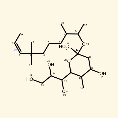 C/C=C\C(C)(C)CCCC(C)C(C)OC1(C(=O)O)CC(O)C(C)C(C(O)C(O)CO)O1